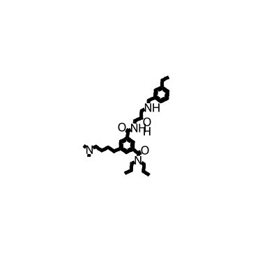 CCCN(CCC)C(=O)c1cc(CCCCN(C)C)cc(C(=O)NC[C@H](O)CNCc2cccc(CC)c2)c1